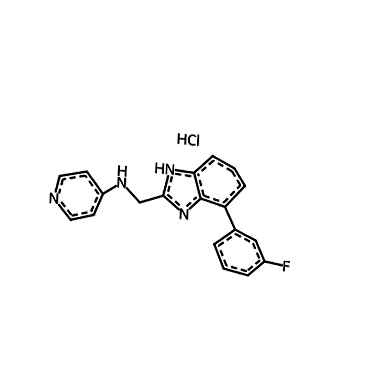 Cl.Fc1cccc(-c2cccc3[nH]c(CNc4ccncc4)nc23)c1